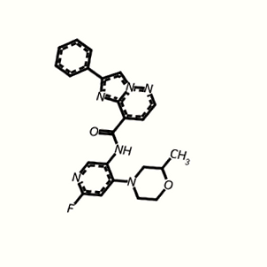 CC1CN(c2cc(F)ncc2NC(=O)c2ccnn3cc(-c4ccccc4)nc23)CCO1